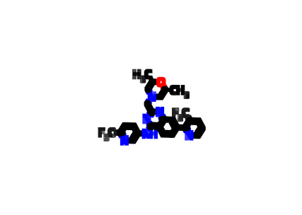 C[C@@H]1CN(Cc2nc(Nc3ccc(C(F)(F)F)nc3)c3ccc(-c4ncccc4C(F)(F)F)cc3n2)C[C@H](C)O1